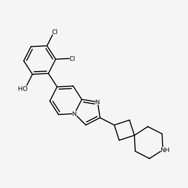 Oc1ccc(Cl)c(Cl)c1-c1ccn2cc(C3CC4(CCNCC4)C3)nc2c1